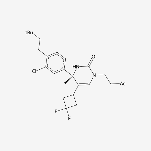 CC(=O)CCN1C=C(C2CC(F)(F)C2)[C@](C)(c2ccc(CCC(C)(C)C)c(Cl)c2)NC1=O